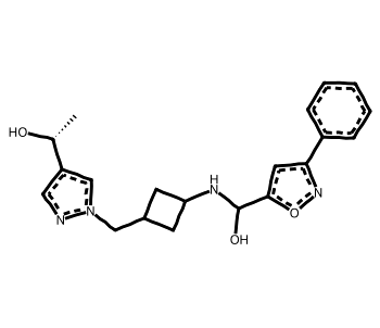 C[C@@H](O)c1cnn(CC2CC(NC(O)c3cc(-c4ccccc4)no3)C2)c1